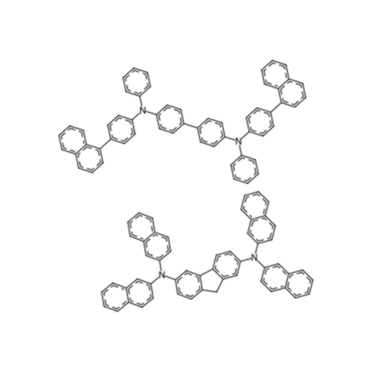 c1ccc(N(c2ccc(-c3ccc(N(c4ccccc4)c4ccc(-c5cccc6ccccc56)cc4)cc3)cc2)c2ccc(-c3cccc4ccccc34)cc2)cc1.c1ccc2cc(N(c3ccc4c(c3)Cc3ccc(N(c5ccc6ccccc6c5)c5ccc6ccccc6c5)cc3-4)c3ccc4ccccc4c3)ccc2c1